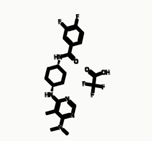 Cc1c(N[C@H]2CC[C@@H](NC(=O)c3ccc(F)c(F)c3)CC2)ncnc1N(C)C.O=C(O)C(F)(F)F